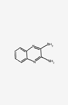 Bc1nc2ccccc2nc1N